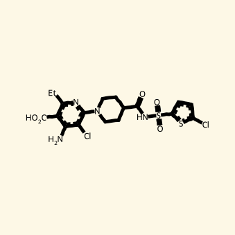 CCc1nc(N2CCC(C(=O)NS(=O)(=O)c3ccc(Cl)s3)CC2)c(Cl)c(N)c1C(=O)O